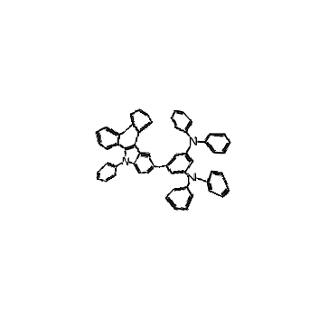 c1ccc(N(c2ccccc2)c2cc(-c3ccc4c(c3)c3c5ccccc5c5ccccc5c3n4-c3ccccc3)cc(N(c3ccccc3)c3ccccc3)c2)cc1